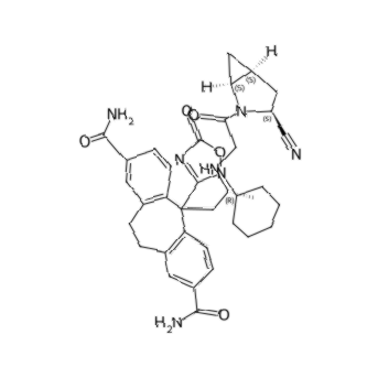 C[C@H](CC1(c2nc(=O)on2C2CCCCC2)c2ccc(C(N)=O)cc2CCc2cc(C(N)=O)ccc21)NCC(=O)N1[C@H](C#N)C[C@@H]2C[C@@H]21